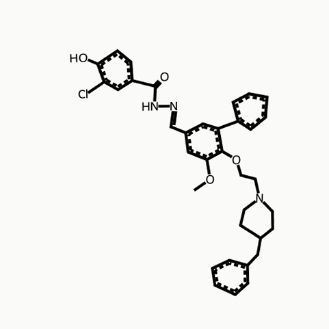 COc1cc(/C=N/NC(=O)c2ccc(O)c(Cl)c2)cc(-c2ccccc2)c1OCCN1CCC(Cc2ccccc2)CC1